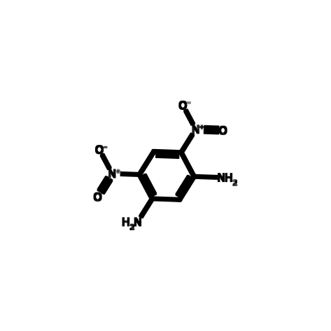 Nc1cc(N)c([N+](=O)[O-])cc1[N+](=O)[O-]